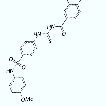 COc1ccc(NS(=O)(=O)c2ccc(NC(=S)NC(=O)c3ccc(OC)c(I)c3)cc2)cc1